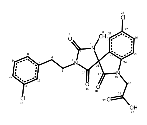 CN1C(=O)N(CCc2cccc(Cl)c2)C(=O)C12C(=O)N(CC(=O)O)c1ccc(Cl)cc12